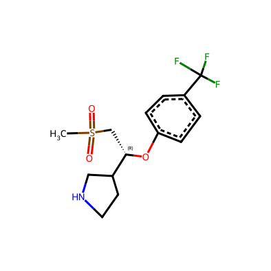 CS(=O)(=O)C[C@H](Oc1ccc(C(F)(F)F)cc1)C1CCNC1